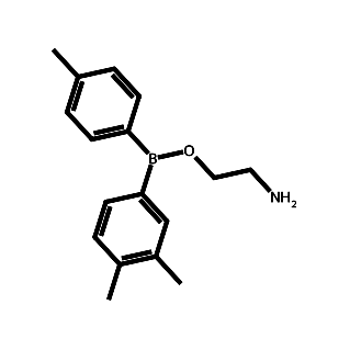 Cc1ccc(B(OCCN)c2ccc(C)c(C)c2)cc1